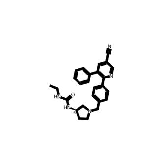 CCNC(=O)N[C@@H]1CCN(Cc2ccc(-c3ncc(C#N)cc3-c3ccccc3)cc2)C1